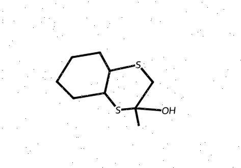 CC1(O)CSC2CCCCC2S1